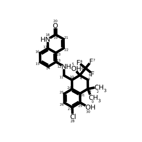 CC1(C)CC(O)(C(F)(F)F)C(CNc2cccc3[nH]c(=O)ccc23)c2ccc(Cl)c(O)c21